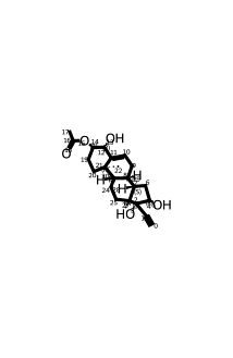 C#C[C@]1(O)[C@H](O)C[C@H]2[C@@H]3CC=C4[C@@H](O)[C@H](OC(C)=O)CC[C@]4(C)[C@H]3CC[C@@]21C